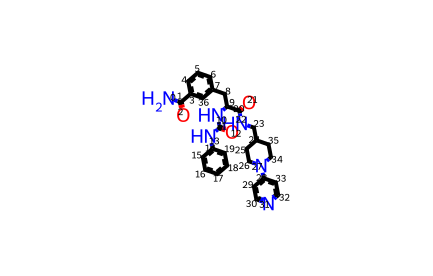 NC(=O)c1cccc(CC(NC(=O)Nc2ccccc2)C(=O)NCC2CCN(c3ccncc3)CC2)c1